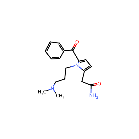 CN(C)CCCn1c(CC(N)=O)ccc1C(=O)c1ccccc1